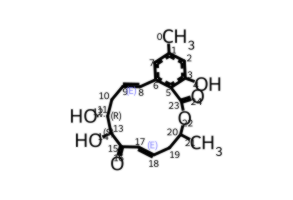 Cc1cc(O)c2c(c1)/C=C/C[C@@H](O)[C@H](O)C(=O)/C=C/CC(C)OC2=O